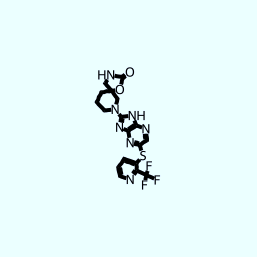 O=C1NCC2(CCCN(c3nc4nc(Sc5cccnc5C(F)(F)F)cnc4[nH]3)C2)O1